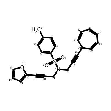 Cc1ccc(S(=O)(=O)N(CC#Cc2ccco2)CC#CC2C=CC=CC=C2)cc1